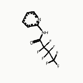 O=C(Nc1ccccn1)C(F)(F)C(F)(F)C(F)(F)F